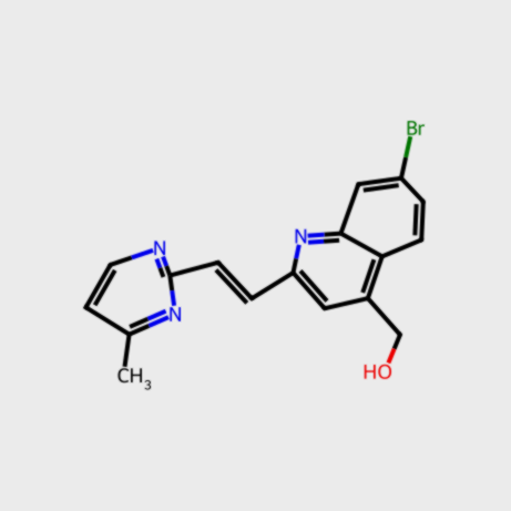 Cc1ccnc(C=Cc2cc(CO)c3ccc(Br)cc3n2)n1